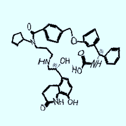 O=C(O)N[C@@H](c1ccccc1)c1cccc(OCc2ccc(C(=O)N(CCCNC[C@H](O)c3ccc(O)c4[nH]c(=O)ccc34)C3CCCC3)cc2)c1